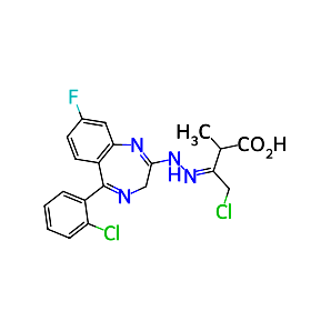 CC(C(=O)O)/C(CCl)=N\NC1=Nc2cc(F)ccc2C(c2ccccc2Cl)=NC1